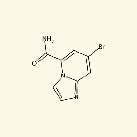 NC(=O)c1cc(Br)cc2nccn12